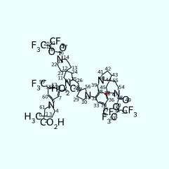 CC1(C(=O)O)CCN(c2cc(CN3CC4(CCN(C(=O)OC(C(F)(F)F)C(F)(F)F)CC4)CC3CC3(C(=O)O)CCN(c4cc(C(F)(F)F)ccc4CN4CCCC45CCN(C(=O)OC(C(F)(F)F)C(F)(F)F)CC5)C3)cc(C(F)(F)F)c2)C1